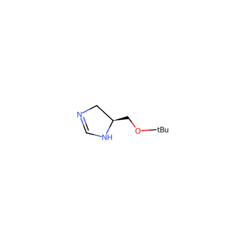 CC(C)(C)OC[C@@H]1CN=CN1